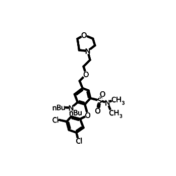 CCCCN(CCCC)c1cc(COCCN2CCOCC2)cc(S(=O)(=O)N(C)C)c1Oc1cc(Cl)cc(Cl)c1